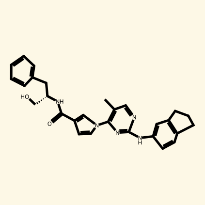 Cc1cnc(Nc2ccc3c(c2)CCC3)nc1-n1ccc(C(=O)N[C@H](CO)Cc2ccccc2)c1